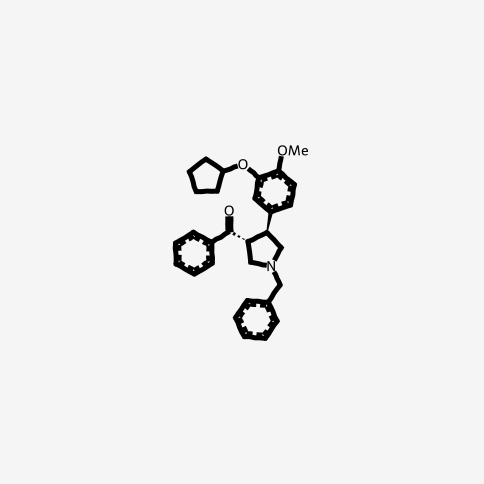 COc1ccc([C@H]2CN(Cc3ccccc3)C[C@@H]2C(=O)c2ccccc2)cc1OC1CCCC1